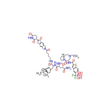 CCN1CC[C@H]2CC[C@@H](C(=O)NC(CCC(N)=O)C(=O)NC(Cc3ccc(C(C)(C)C)cc3)C(=O)NCCCCCC(=O)N3Cc4cc5c(cc4C3)C(=O)N(C3CCC(=O)NC3=O)C5)N2C(=O)[C@@H](NC(=O)c2cc3cc(C(F)(F)P(=O)(O)O)ccc3s2)C1